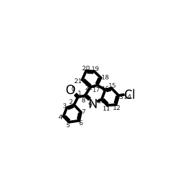 O=C(c1ccccc1)c1nc2ccc(Cl)cc2c2ccccc12